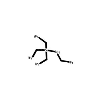 CC(C)CN[Si](CC(C)C)(CC(C)C)CC(C)C